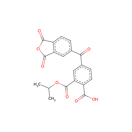 CC(C)OC(=O)c1cc(C(=O)c2ccc3c(c2)C(=O)OC3=O)ccc1C(=O)O